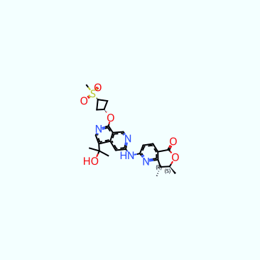 C[C@@H]1OC(=O)c2ccc(Nc3cc4c(C(C)(C)O)cnc(O[C@H]5C[C@@H](S(C)(=O)=O)C5)c4cn3)nc2[C@H]1C